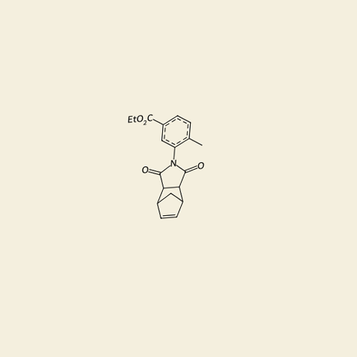 CCOC(=O)c1ccc(C)c(N2C(=O)C3C4C=CC(C4)C3C2=O)c1